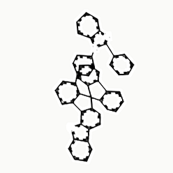 c1ccc(-c2nc3ccccc3n2-c2ccc(-c3cccc4c3C3(c5ccccc5-c5ccccc53)c3ccc5c(oc6ccccc65)c3-4)cc2)cc1